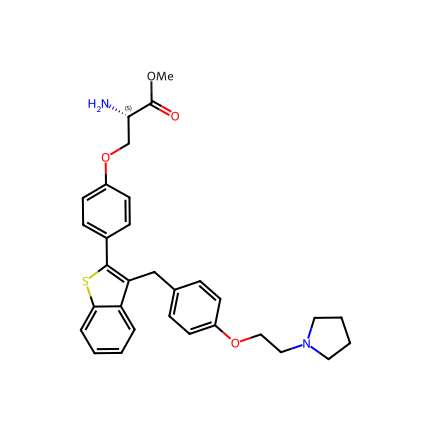 COC(=O)[C@@H](N)COc1ccc(-c2sc3ccccc3c2Cc2ccc(OCCN3CCCC3)cc2)cc1